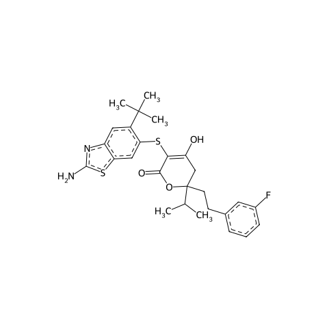 CC(C)C1(CCc2cccc(F)c2)CC(O)=C(Sc2cc3sc(N)nc3cc2C(C)(C)C)C(=O)O1